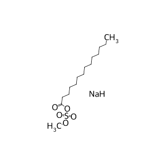 CCCCCCCCCCCCCC(=O)OS(=O)(=O)OC.[NaH]